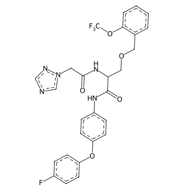 O=C(Cn1cncn1)NC(COCc1ccccc1OC(F)(F)F)C(=O)Nc1ccc(Oc2ccc(F)cc2)cc1